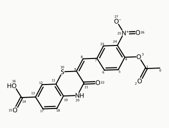 CC(=O)Oc1ccc(/C=C2/Sc3cc(C(=O)O)ccc3NC2=O)cc1[N+](=O)[O-]